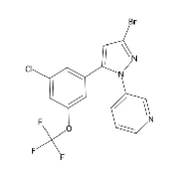 FC(F)(F)Oc1cc(Cl)cc(-c2cc(Br)nn2-c2cccnc2)c1